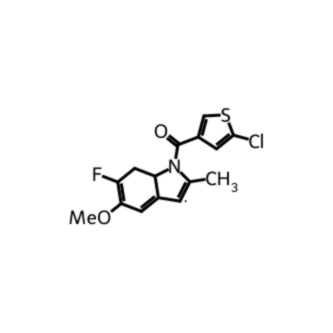 COC1=C(F)CC2C(=C1)[C]=C(C)N2C(=O)c1csc(Cl)c1